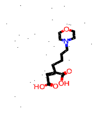 O=C(O)C=C(CCCCN1CCOCC1)C(=O)O